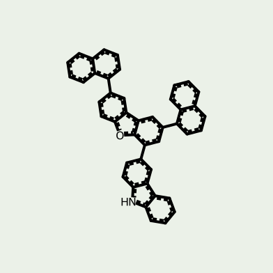 c1ccc2c(-c3ccc4oc5c(-c6ccc7[nH]c8ccccc8c7c6)cc(-c6cccc7ccccc67)cc5c4c3)cccc2c1